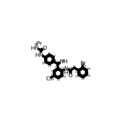 CC(C)NC(=O)Nc1ccc(C(=N)c2cc(Cl)ccc2NC(=O)Cc2ccccc2Br)cc1